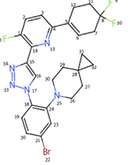 Fc1ccc(C2=CCC(F)(F)CC2)nc1-c1cn(-c2ccc(Br)cc2N2CCC3(CC2)CC3)nn1